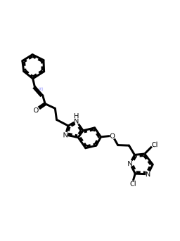 O=C(/C=C/c1ccccc1)CCc1nc2ccc(OCCc3nc(Cl)ncc3Cl)cc2[nH]1